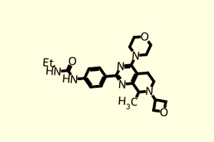 CCNC(=O)Nc1ccc(-c2nc3c(c(N4CCOCC4)n2)CCN(C2COC2)C3C)cc1